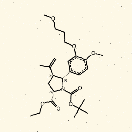 C=C(C)[C@@H]1C[C@@H](C(=O)OCC)N(C(=O)OC(C)(C)C)[C@H]1c1ccc(OC)c(OCCCOC)c1